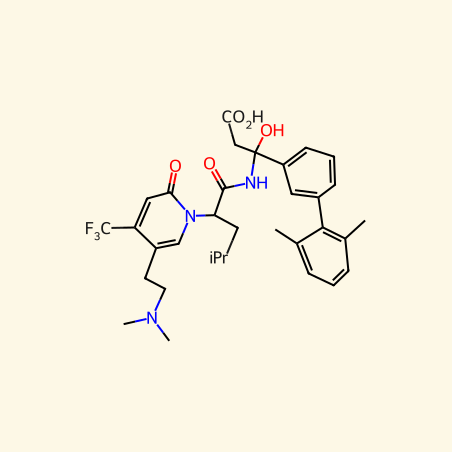 Cc1cccc(C)c1-c1cccc(C(O)(CC(=O)O)NC(=O)C(CC(C)C)n2cc(CCN(C)C)c(C(F)(F)F)cc2=O)c1